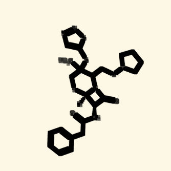 O=C(Cc1ccccc1)N[C@@H]1C(=O)N2C(CSN3CCCC3)C(Sc3cnns3)(C(=O)O)CS[C@H]12